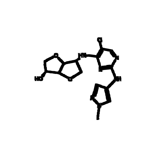 Cn1cc(Nc2ncc(Cl)c(N[C@@H]3COC4C3OC[C@@H]4O)n2)cn1